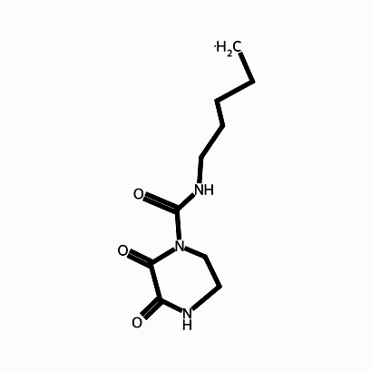 [CH2]CCCCNC(=O)N1CCNC(=O)C1=O